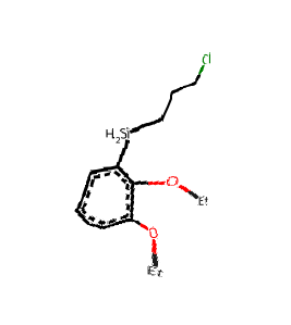 CCOc1cccc([SiH2]CCCCl)c1OCC